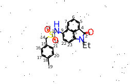 CCN1C(=O)c2cccc3c(NS(=O)(=O)Cc4ccc(C)cc4)ccc1c23